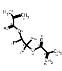 C=C(C)C(=O)OC(F)C(F)(F)OC(=O)C(=C)C